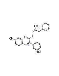 CN(CCC(=O)/C(=C\c1ccc(Cl)cc1)c1ccccc1)Cc1ccccc1.Cl